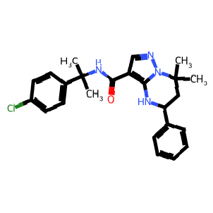 CC(C)(NC(=O)c1cnn2c1NC(c1ccccc1)CC2(C)C)c1ccc(Cl)cc1